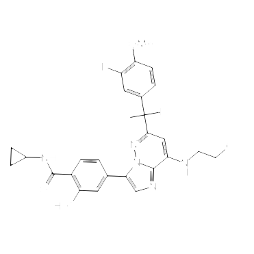 COc1ccc(C(F)(F)c2cc(NCCC(F)(F)F)c3ncc(-c4ccc(C(=O)NC5CC5)c(C)c4)n3n2)cc1F